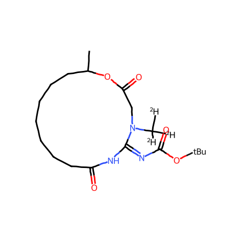 [2H]C([2H])([2H])N1CC(=O)OC(C)CCCCCCCC(=O)N/C1=N/C(=O)OC(C)(C)C